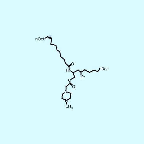 CCCCCCCC/C=C\CCCCCCCC(=O)NC(COC(=O)CN1CCN(C)CC1)CC(CCCCCCCCCCCCCC)C(C)C